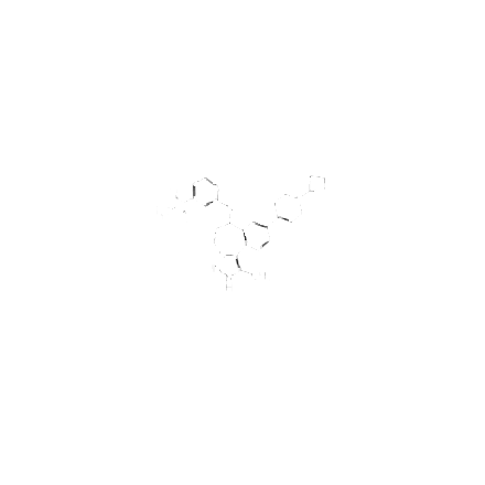 CC1=C2c3ccc(C4=CCN(C5CCC5)CC4)cc3C(Nc3cccc(S(C)(=O)=O)c3)CCN2NN1